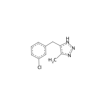 [CH2]c1nn[nH]c1Cc1cccc(Cl)c1